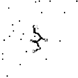 C=CCC(CC)C(=O)OCC